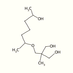 CC(O)CCCC(C)OCC(C)(CO)CO